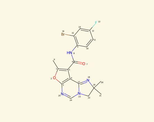 Cc1oc2c(c1C(=O)Nc1ccc(F)cc1Br)C1=NC(C)(C)CN1C=N2